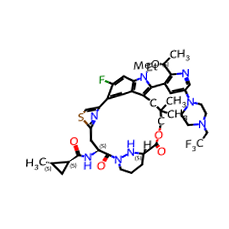 CCn1c(-c2cc(N3CCN(CC(F)(F)F)CC3)cnc2[C@H](C)OC)c2c3cc(c(F)cc31)-c1csc(n1)C[C@H](NC(=O)[C@H]1C[C@@H]1C)C(=O)N1CCC[C@H](N1)C(=O)OCC(C)(C)C2